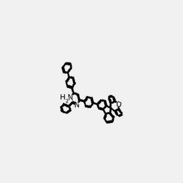 NC(/C=C(\N=C\c1ccccc1)c1ccc(-c2ccc3c(c2)-c2ccccc2C32c3ccccc3Oc3ccccc32)cc1)c1ccc(-c2ccccc2)cc1